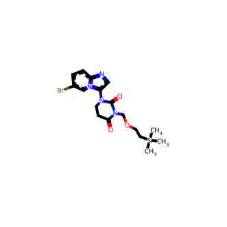 C[Si](C)(C)CCOCN1C(=O)CCN(c2cnc3ccc(Br)cn23)C1=O